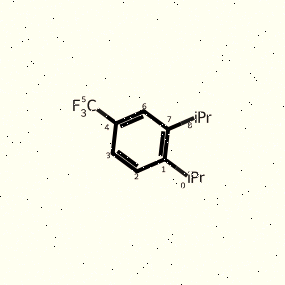 CC(C)c1ccc(C(F)(F)F)cc1C(C)C